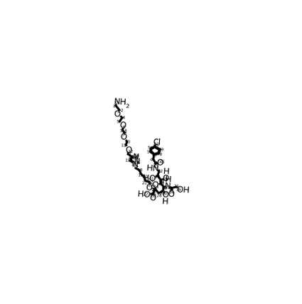 NCCOCCOCCOCCOCc1cn(CCCCCCO[C@]2(C(=O)O)C[C@H](O)[C@@H](NC(=O)CO)[C@H]([C@H](O)[C@H](O)CNC(=O)Cc3ccc(Cl)cc3)O2)nn1